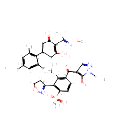 CCO/N=C(\CC)C1=C(O)CC(c2c(C)cc(C)cc2C)CC1=O.Cc1c(C(=O)c2cnn(C)c2O)ccc(S(C)(=O)=O)c1C1=NOCC1